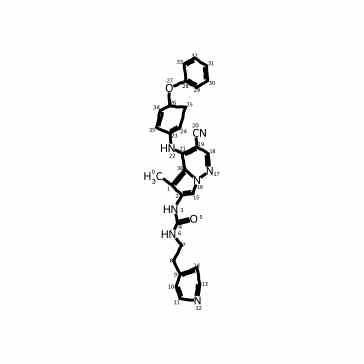 Cc1c(NC(=O)NCCc2ccncc2)cn2ncc(C#N)c(NC3=CCC(Oc4ccccc4)C=C3)c12